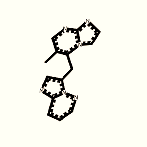 Cc1cnc2nccn2c1Cc1cnc2cccnn12